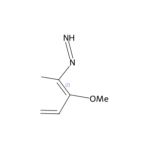 C=C/C(OC)=C(\C)N=N